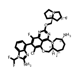 C[C@H]1CC[C@@H](N)CN2c3nc(OC[C@@]45CCCN4C[C@H](F)C5)nc4c(F)c(-c5cccc6c5nc(N)n6C(F)F)c(Cl)c(c34)OC[C@H]12